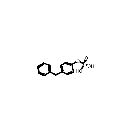 O=P(O)(O)Oc1ccc(Cc2ccccc2)cc1